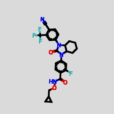 N#Cc1ccc(N2C(=O)N(c3ccc(C(=O)NOCC4CC4)c(F)c3)C3CCCCC32)cc1C(F)(F)F